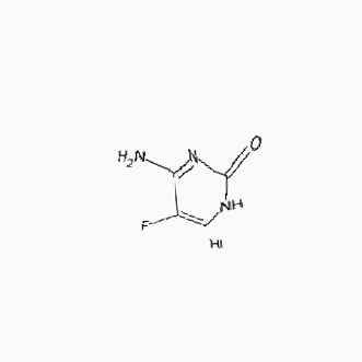 I.Nc1nc(=O)[nH]cc1F